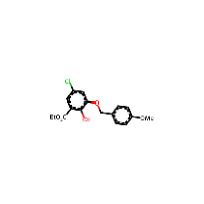 CCOC(=O)c1cc(Cl)cc(OCc2ccc(OC)cc2)c1O